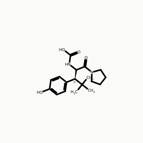 CC(C)(C)[C@@H](c1ccc(O)cc1)C(NC(=O)O)C(=O)N1CCCC1